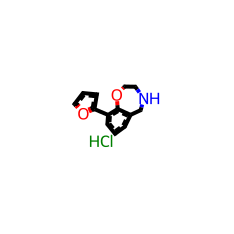 Cl.c1coc(-c2cccc3c2OCCNC3)c1